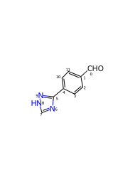 O=Cc1ccc(-c2nc[nH]n2)cc1